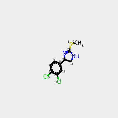 CSC1=NC(c2ccc(Cl)c(Cl)c2)CN1